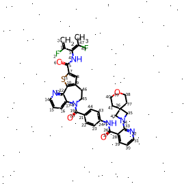 C=C(F)/C(NC(=O)c1cc2c(s1)-c1ncccc1N(C(=O)c1ccc(NC(=O)c3cccnc3N3CC4(CCOCC4)C3)cc1)CC2)=C(\C)F